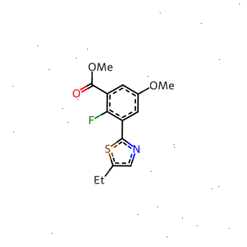 CCc1cnc(-c2cc(OC)cc(C(=O)OC)c2F)s1